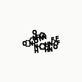 Cn1nccc1C(=O)NCC1COCCN1C(=O)Nc1ccc(C(=N)NC(=O)C(F)(F)F)cc1